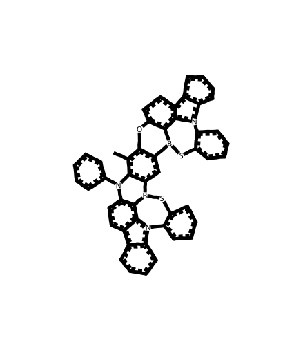 Cc1c2c(cc3c1N(c1ccccc1)c1ccc4c5ccccc5n5c4c1B3Sc1ccccc1-5)B1Sc3ccccc3-n3c4ccccc4c4ccc(c1c43)O2